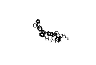 Cc1ncnc(C)c1C(=O)N1CC2CN(CCC3(c4ccccc4)CCN(C(=O)C4CCCC4)CC3)CC2C1